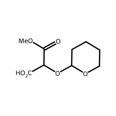 COC(=O)C(OC1CCCCO1)C(=O)O